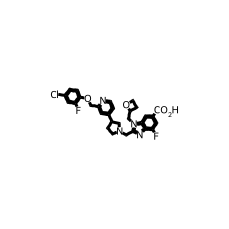 O=C(O)c1cc(F)c2nc(CN3CCC(c4ccnc(COc5ccc(Cl)cc5F)c4)C3)n(CC3CCO3)c2c1